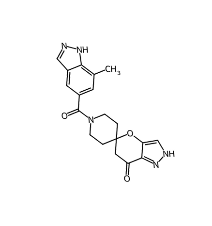 Cc1cc(C(=O)N2CCC3(CC2)CC(=O)c2n[nH]cc2O3)cc2cn[nH]c12